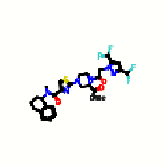 COC(=O)C1CN(c2nc(C(=O)N(C)C3CCCc4ccccc43)cs2)CCN1C(=O)Cn1nc(C(F)F)cc1C(F)F